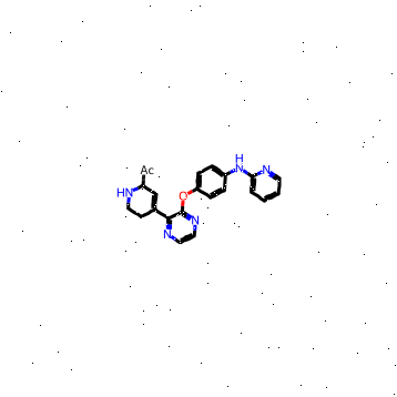 CC(=O)C1C=C(c2nccnc2Oc2ccc(Nc3ccccn3)cc2)CCN1